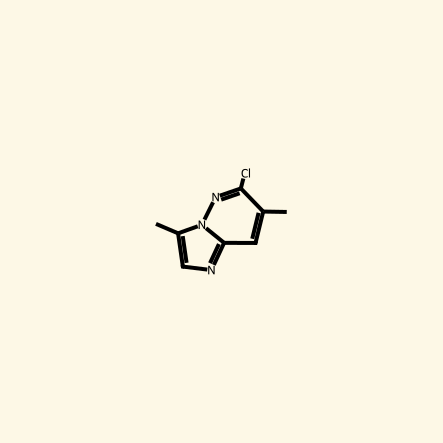 Cc1cc2ncc(C)n2nc1Cl